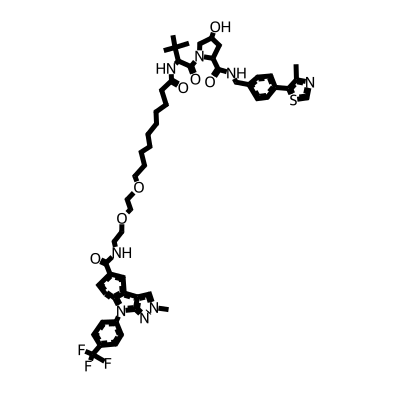 Cc1ncsc1-c1ccc(CNC(=O)C2CC(O)CN2C(=O)C(NC(=O)CCCCCCCCCOCCOCCNC(=O)c2ccc3c(c2)c2cn(C)nc2n3-c2ccc(C(F)(F)F)cc2)C(C)(C)C)cc1